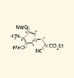 CCOC(=O)C(C#N)Cc1cc(OC)c(N)c(OC)c1